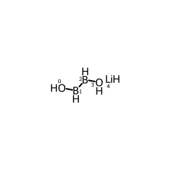 OBBO.[LiH]